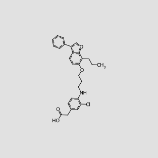 CCCc1c(OCCCNc2ccc(CC(=O)O)cc2Cl)ccc2c(-c3ccccc3)coc12